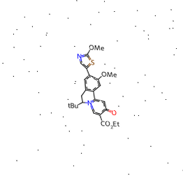 CCOC(=O)c1cn2c(cc1=O)-c1cc(OC)c(-c3cnc(OC)s3)cc1CC2C(C)(C)C